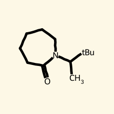 CC(N1CCCCCC1=O)C(C)(C)C